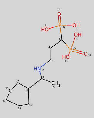 CC(NCCC(P(=O)(O)O)P(=O)(O)O)C1CCCCC1